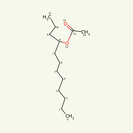 CCCCCCCCC(CCC)OC(C)=O